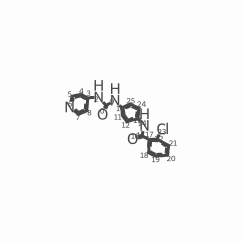 O=C(Nc1ccncc1)Nc1ccc(NC(=O)c2ccccc2Cl)cc1